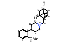 COc1ccccc1C1CCN(CC2=CC[C@@H]3C[C@@H]2C3(C)C)CC1